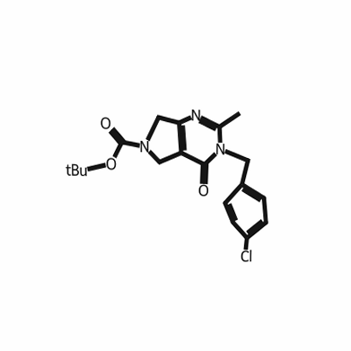 Cc1nc2c(c(=O)n1Cc1ccc(Cl)cc1)CN(C(=O)OC(C)(C)C)C2